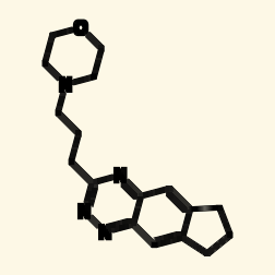 c1c2c(cc3nc(CCCN4CCOCC4)nnc13)CCC2